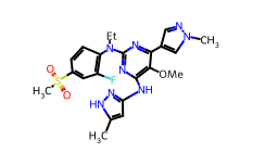 CCN(c1nc(Nc2cc(C)[nH]n2)c(OC)c(-c2cnn(C)c2)n1)c1ccc(S(C)(=O)=O)cc1F